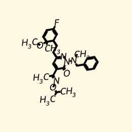 COC1(C)C=CC(F)=CC1CCc1cc(/C(C)=N/OC(C)C)c(=O)n(N(C)Cc2ccccc2)n1